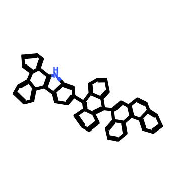 c1ccc2c(c1)ccc1cc(-c3c4ccccc4c(-c4ccc5c(c4)[nH]c4c6ccccc6c6ccccc6c54)c4ccccc34)c3ccccc3c12